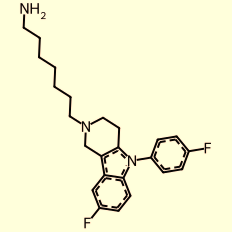 NCCCCCCCN1CCc2c(c3cc(F)ccc3n2-c2ccc(F)cc2)C1